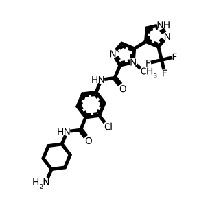 Cn1c(-c2c[nH]nc2C(F)(F)F)cnc1C(=O)Nc1ccc(C(=O)NC2CCC(N)CC2)c(Cl)c1